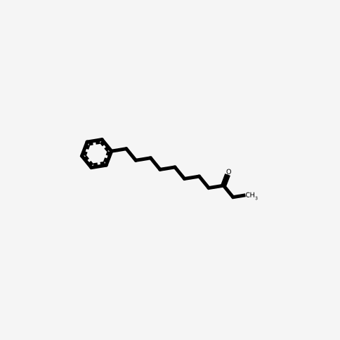 CCC(=O)CCCCCCCCc1ccccc1